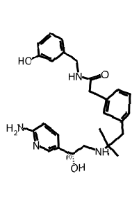 CC(C)(Cc1cccc(CC(=O)NCc2cccc(O)c2)c1)NC[C@H](O)c1ccc(N)nc1